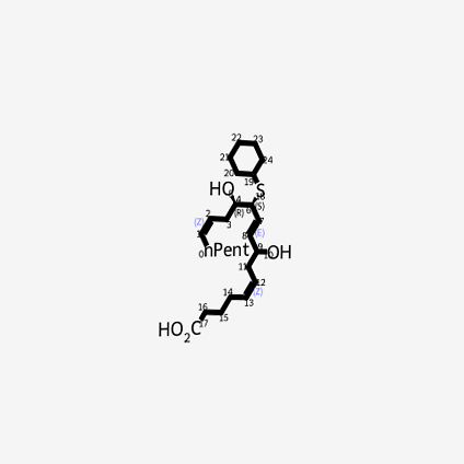 CCCCC/C=C\C[C@@H](O)[C@H](/C=C/C(O)C/C=C\CCCC(=O)O)SC1CCCCC1